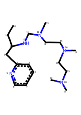 CCC(Cc1ccccn1)NCN(C)CCN(C)CCN(C)C